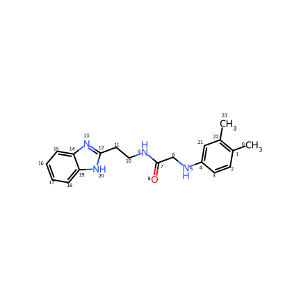 Cc1ccc(NCC(=O)NCCc2nc3ccccc3[nH]2)cc1C